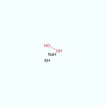 OO.[KH].[NaH]